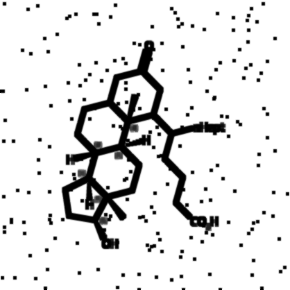 CCCCCCCC(CCCC(=O)O)C1CC(=O)CC2CC[C@@H]3[C@H](CC[C@]4(C)[C@@H](O)CC[C@@H]34)[C@]21C